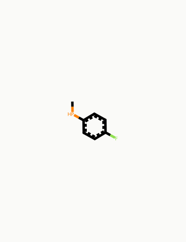 CPc1ccc(F)cc1